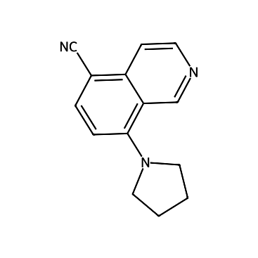 N#Cc1ccc(N2CCCC2)c2cnccc12